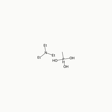 CCN(CC)CC.C[PH](O)(O)O